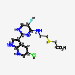 O=C(O)CSCCNc1nc(-c2c[nH]c3ncc(Cl)cc23)ncc1F